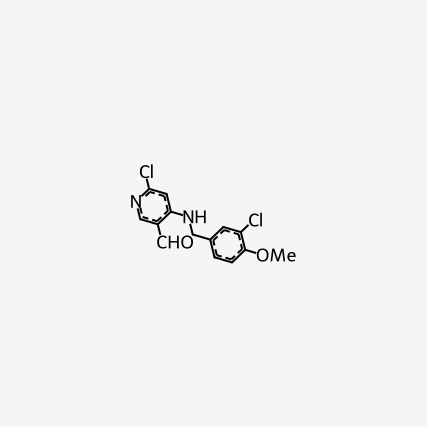 COc1ccc(CNc2cc(Cl)ncc2C=O)cc1Cl